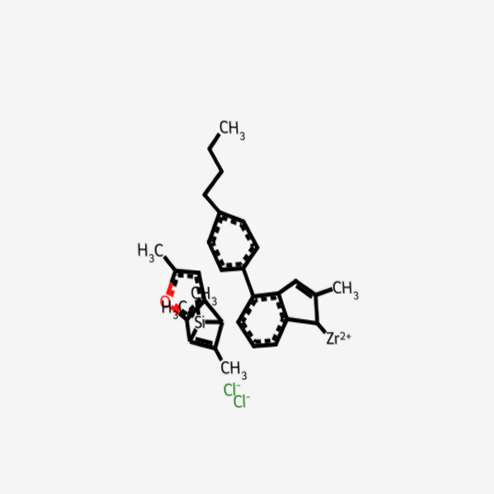 CC1=C2c3oc(C)cc3C1[Si]2(C)C.CCCCc1ccc(-c2cccc3c2C=C(C)[CH]3[Zr+2])cc1.[Cl-].[Cl-]